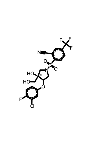 N#Cc1cc(C(F)(F)F)ccc1S(=O)(=O)N1CC(Oc2ccc(F)c(Cl)c2)[C@](O)(CO)C1